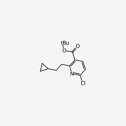 CC(C)(C)OC(=O)c1ccc(Cl)nc1CCC1CC1